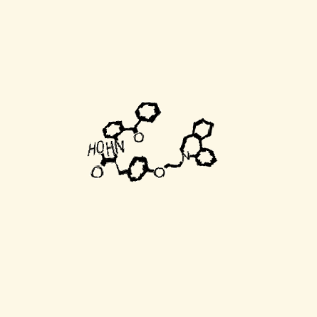 O=C(c1ccccc1)c1ccccc1N[C@@H](Cc1ccc(OCCN2C=CC3=C(CCC=C3)c3ccccc32)cc1)C(=O)O